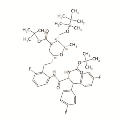 C[C@@H]1O[C@H](CCc2c(F)cccc2NC(=O)C(NC(=O)OC(C)(C)C)C(c2ccc(F)cc2)c2ccc(F)cc2)CN(C(=O)OC(C)(C)C)[C@@H]1CO[Si](C)(C)C(C)(C)C